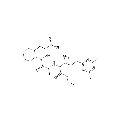 CCOC(=O)C(N[C@@H](C)C(=O)C1NC(C(=O)O)CC2CCCCC21)C(N)CCc1nc(C)cc(C)n1